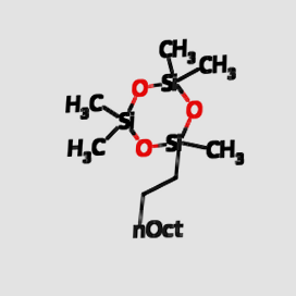 CCCCCCCCCC[Si]1(C)O[Si](C)(C)O[Si](C)(C)O1